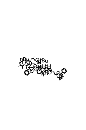 C=C(Br)C[C@@H](CC[C@@]12C[C@H]3O[C@H]4C(O1)[C@H]1O[C@@H](CC(O)C([C@H]5C(C[C@H]6OC(CCCC)C[C@@H](C)C6=C)O[C@H](C[C@H](C)CO[Si](C)(C)C(C)(C)C)[C@@H]5C)S(=O)(=O)c5ccccc5)CC[C@@H]1O[C@H]4C3O2)OC(=O)c1ccccc1